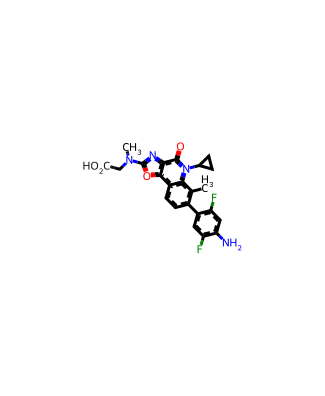 Cc1c(-c2cc(F)c(N)cc2F)ccc2c3oc(N(C)CC(=O)O)nc3c(=O)n(C3CC3)c12